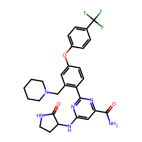 NC(=O)c1cc(NC2CCNC2=O)nc(-c2ccc(Oc3ccc(C(F)(F)F)cc3)cc2CN2CCCCC2)n1